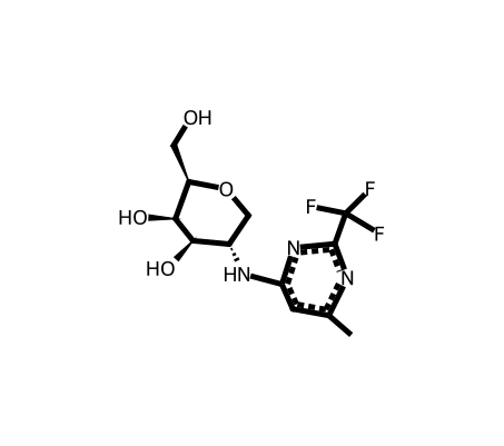 Cc1cc(N[C@H]2CO[C@H](CO)[C@H](O)[C@@H]2O)nc(C(F)(F)F)n1